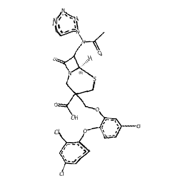 CC(=O)N(C1C(=O)N2CC(COc3cc(Cl)ccc3Oc3ccc(Cl)cc3Cl)(C(=O)O)CS[C@H]12)n1cnnn1